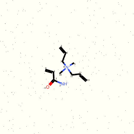 C=CC([NH-])=O.C=CC[N+](C)(C)CC=C